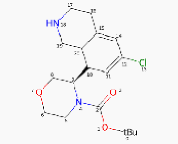 CC(C)(C)OC(=O)N1CCOC[C@H]1C1C=C(Cl)C=C2CCNCC21